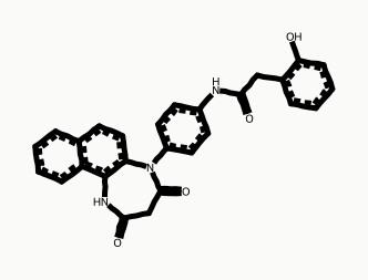 O=C(Cc1ccccc1O)Nc1ccc(N2C(=O)CC(=O)Nc3c2ccc2ccccc32)cc1